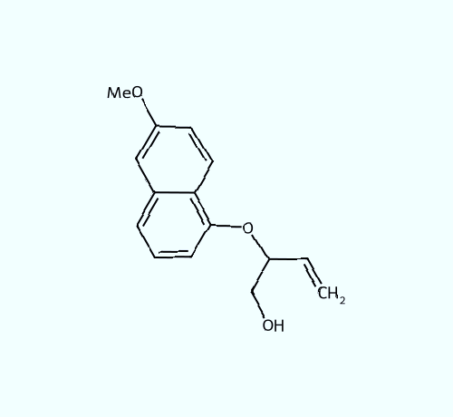 C=CC(CO)Oc1cccc2cc(OC)ccc12